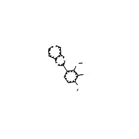 COc1ccc(-c2nc3cnccc3[nH]2)c(OC)c1O